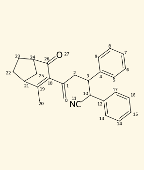 C=C(CC(c1ccccc1)C(C#N)c1ccccc1)C1=C(C)C2CCC(C2)C1=O